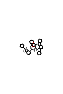 c1ccc(-c2nc(-c3cccc4oc(-c5ccccc5)nc34)nc(-n3c4ccccc4c4ccc5c6ccccc6n(-c6ccccc6)c5c43)n2)cc1